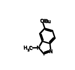 CC(C)COc1ccc2n[c]n(C)c2c1